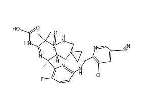 CC1(C)C(NC(=O)O)=N[C@](C)(c2nc(NCc3ncc(C#N)cc3Cl)ccc2F)[C@H]2CC3(CC3)CN[SH]21=O